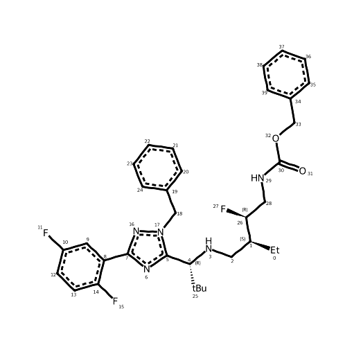 CC[C@@H](CN[C@@H](c1nc(-c2cc(F)ccc2F)nn1Cc1ccccc1)C(C)(C)C)[C@@H](F)CNC(=O)OCc1ccccc1